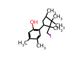 Cc1cc(O)c(C2CC(C)C(C)(C)C2(C)CI)cc1C